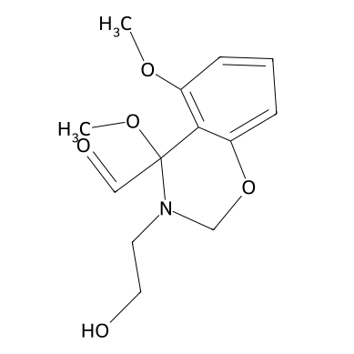 COc1cccc2c1C(C=O)(OC)N(CCO)CO2